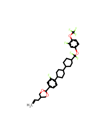 C=CCC1COC(c2ccc(C3CCC(C4CCC(C(F)(F)Oc5ccc(OC(F)(F)F)c(F)c5)CC4)CC3)c(F)c2)OC1